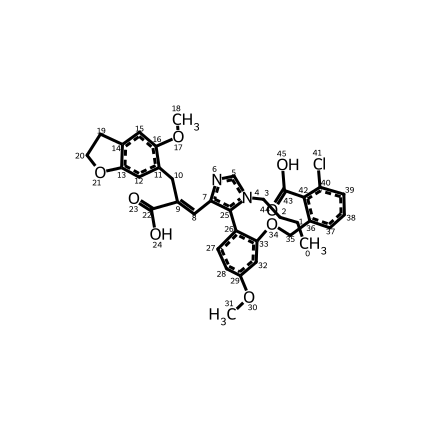 CCCCn1cnc(/C=C(\Cc2cc3c(cc2OC)CCO3)C(=O)O)c1-c1ccc(OC)cc1OCc1cccc(Cl)c1C(=O)O